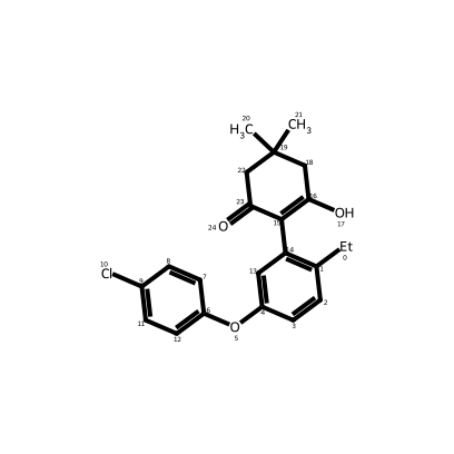 CCc1ccc(Oc2ccc(Cl)cc2)cc1C1=C(O)CC(C)(C)CC1=O